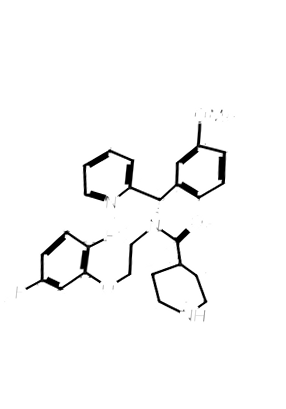 COc1cccc([C@@H](c2ccccn2)N(CCOc2cc(F)ccc2F)C(=O)C2CCNCC2)c1